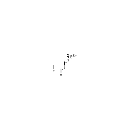 [I-].[I-].[I-].[Re+3]